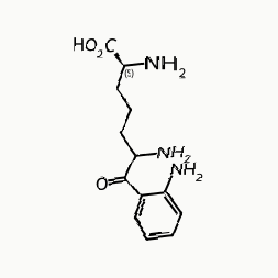 Nc1ccccc1C(=O)C(N)CCC[C@H](N)C(=O)O